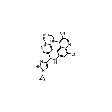 CC(C)(C)CNc1c(C#N)cnc2c(C#N)cc(NC(C3=CN(C4CC4)NN3)c3ccc(F)nc3)cc12